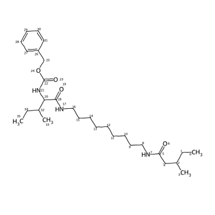 CCC(C)[CH]C(=O)NCCCCCCCCCNC(=O)C(NC(=O)OCc1ccccc1)C(C)CC